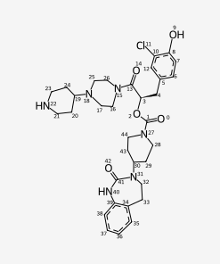 O=C(O[C@H](Cc1ccc(O)c(Cl)c1)C(=O)N1CCN(C2CCNCC2)CC1)N1CCC(N2CCc3ccccc3NC2=O)CC1